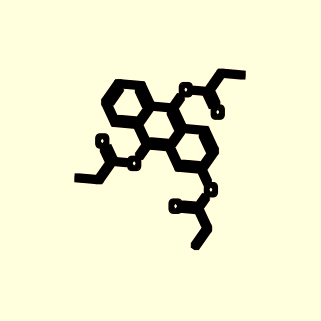 CCC(=O)Oc1ccc2c(OC(=O)CC)c3ccccc3c(OC(=O)CC)c2c1